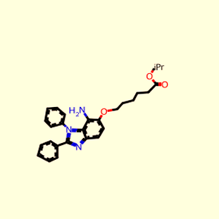 CC(C)OC(=O)CCCCCOc1ccc2nc(-c3ccccc3)n(-c3ccccc3)c2c1N